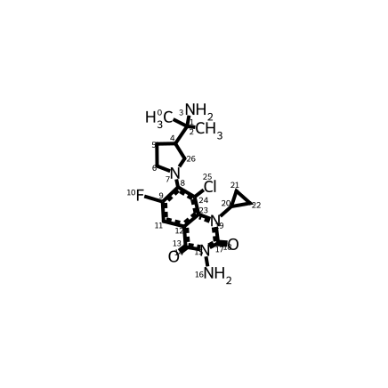 CC(C)(N)C1CCN(c2c(F)cc3c(=O)n(N)c(=O)n(C4CC4)c3c2Cl)C1